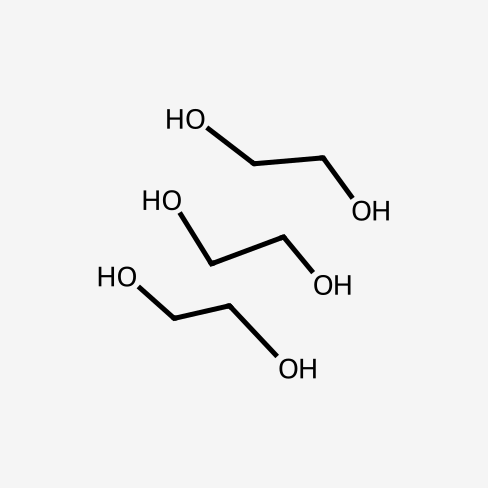 OCCO.OCCO.OCCO